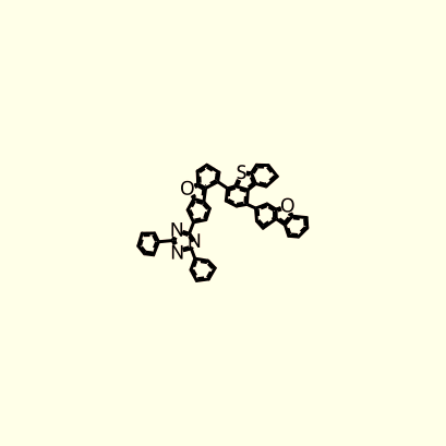 c1ccc(-c2nc(-c3ccccc3)nc(-c3ccc4c(c3)oc3cccc(-c5ccc(-c6ccc7c(c6)oc6ccccc67)c6c5sc5ccccc56)c34)n2)cc1